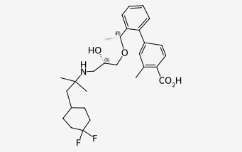 Cc1cc(-c2ccccc2[C@@H](C)OC[C@@H](O)CNC(C)(C)CC2CCC(F)(F)CC2)ccc1C(=O)O